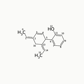 CC=C1C=CC(c2ccccc2O)C(=CC)C1